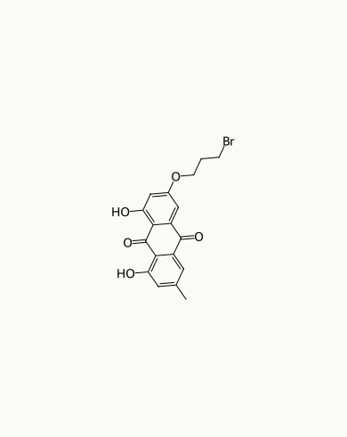 Cc1cc(O)c2c(c1)C(=O)c1cc(OCCCBr)cc(O)c1C2=O